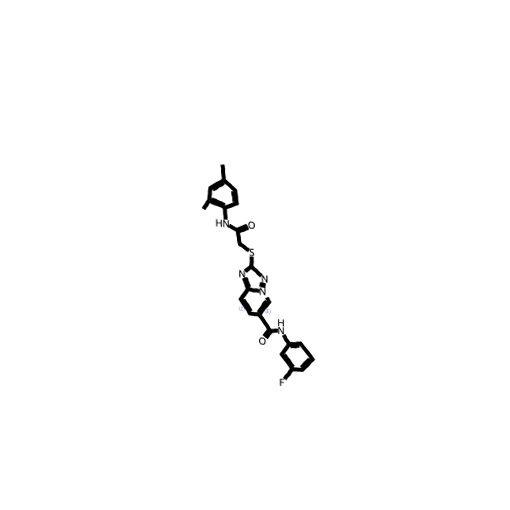 C/C=C(\C=C/C1=NC(SCC(=O)Nc2ccc(C)cc2C)N=N1)C(=O)Nc1cccc(F)c1